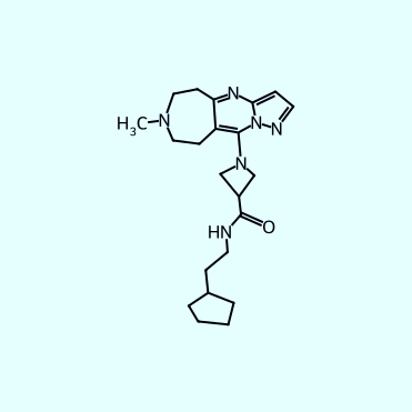 CN1CCc2nc3ccnn3c(N3CC(C(=O)NCCC4CCCC4)C3)c2CC1